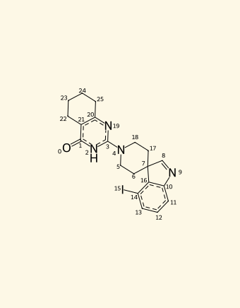 O=c1[nH]c(N2CCC3(C=Nc4cccc(I)c43)CC2)nc2c1CCCC2